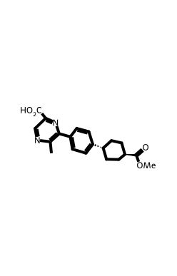 COC(=O)[C@H]1CC[C@H](c2ccc(-c3nc(C(=O)O)cnc3C)cc2)CC1